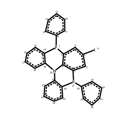 Ic1cc2c3c(c1)P(c1ccccc1)c1ccccc1N3c1ccccc1P2c1ccccc1